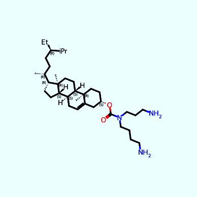 CC[C@H](CC[C@@H](C)[C@H]1CC[C@H]2[C@@H]3CC=C4C[C@@H](OC(=O)N(CCCN)CCCCN)CC[C@]4(C)[C@H]3CC[C@]12C)C(C)C